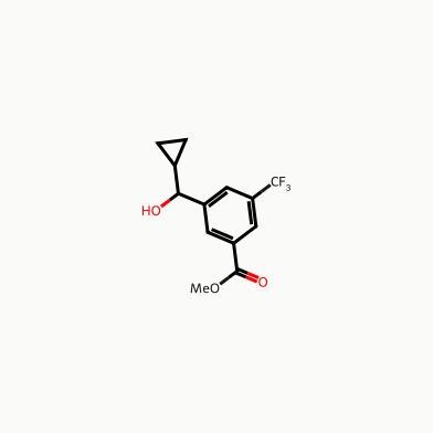 COC(=O)c1cc(C(O)C2CC2)cc(C(F)(F)F)c1